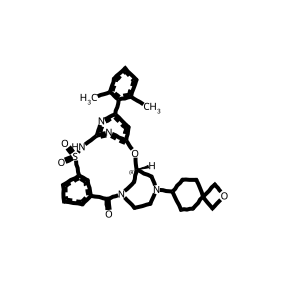 Cc1cccc(C)c1-c1cc2nc(n1)NS(=O)(=O)c1cccc(c1)C(=O)N1CCN(C3CCC4(CC3)COC4)C[C@H](C1)O2